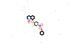 O=C(OCc1ccccc1)N1CC[C@@H](Oc2cccc3ccc[n+]([O-])c23)[C@H](F)C1